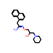 NC(Cc1cccc2ccccc12)=NOCC(O)CN1CCCCC1